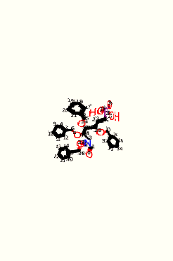 O=CN(C[C@@H](OCc1ccccc1)[C@H](OCc1ccccc1)[C@@H](C=CP(=O)(O)O)OCc1ccccc1)OCc1ccccc1